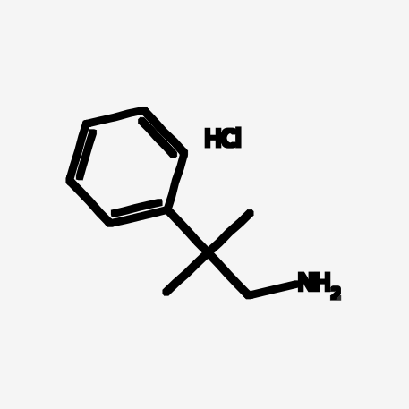 CC(C)(CN)c1ccccc1.Cl